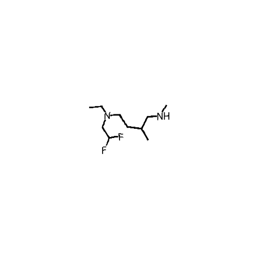 CCN(CCC(C)CNC)CC(F)F